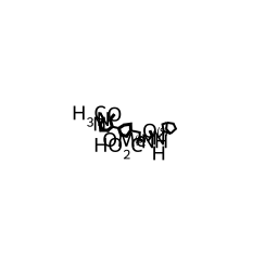 COc1cnn(C)c(=O)c1-c1ccc(C[C@H](NC(=O)N[C@H]2CC3CCC2C3)C(=O)O)cc1